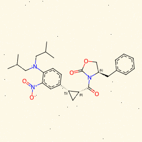 CC(C)CN(CC(C)C)c1ccc([C@H]2C[C@H]2C(=O)N2C(=O)OC[C@H]2Cc2ccccc2)cc1[N+](=O)[O-]